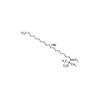 Br.C=C(CCCCCCCCCCCCCCCCCC)C(C)(C)N